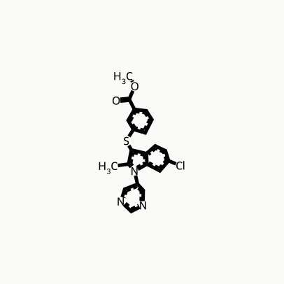 COC(=O)c1cccc(Sc2c(C)n(-c3cncnc3)c3cc(Cl)ccc23)c1